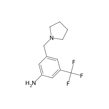 Nc1cc(CN2CCCC2)cc(C(F)(F)F)c1